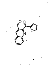 O=Cc1cc2ccccc2nc1C(=O)c1ccco1